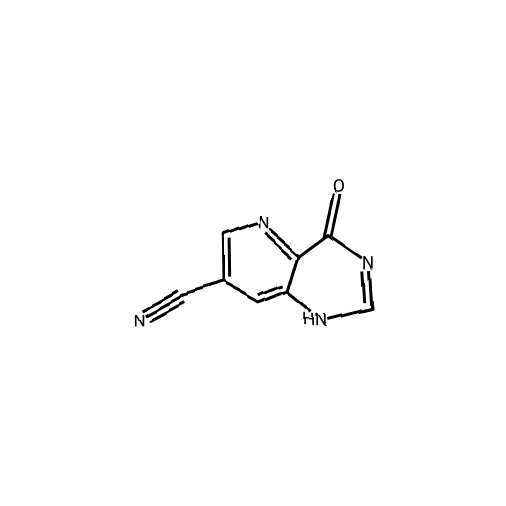 N#Cc1cnc2c(=O)nc[nH]c2c1